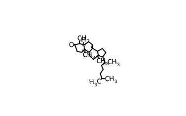 CC(C)CCC[C@@H](C)C1CCC2C3=CC[C@H]4C(C)C(=O)CC[C@]4(C)C3CC[C@@]21C